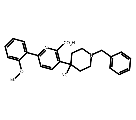 CCOc1ccccc1-c1ccc(C2(C#N)CCN(Cc3ccccc3)CC2)c(C(=O)O)n1